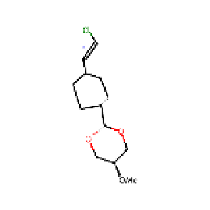 CO[C@H]1CO[C@H]([C@H]2CC[C@H](/C=C/Cl)CC2)OC1